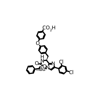 CCCCn1cc(-c2ccc(Cl)cc2Cl)nc1[C@H](Cc1ccc(Oc2ccc(C(=O)O)cc2)cc1)NS(=O)(=O)Cc1ccccc1